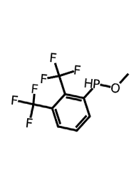 COPc1cccc(C(F)(F)F)c1C(F)(F)F